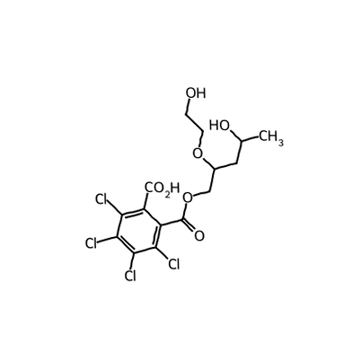 CC(O)CC(COC(=O)c1c(Cl)c(Cl)c(Cl)c(Cl)c1C(=O)O)OCCO